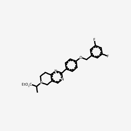 CCOC(=O)C(C)N1CCc2nc(-c3ccc(OCc4cc(F)cc(F)c4)cc3)ncc2C1